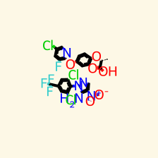 C[C@@H](Oc1ccc(Oc2ncc(Cl)cc2F)cc1)C(=O)O.Nc1c([N+](=O)[O-])cnn1-c1c(Cl)cc(C(F)(F)F)cc1Cl